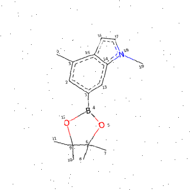 Cc1cc(B2OC(C)(C)C(C)(C)O2)cc2c1ccn2C